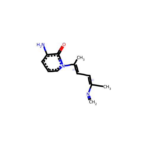 C=N/C(C)=C\C=C(/C)n1cccc(N)c1=O